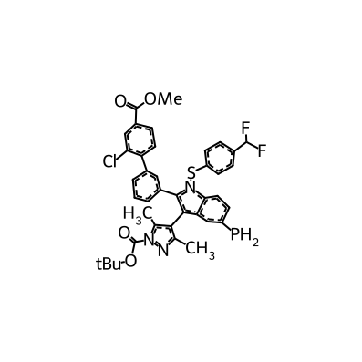 COC(=O)c1ccc(-c2cccc(-c3c(-c4c(C)nn(C(=O)OC(C)(C)C)c4C)c4cc(P)ccc4n3Sc3ccc(C(F)F)cc3)c2)c(Cl)c1